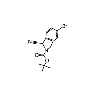 CC(C)(C)OC(=O)N1Cc2cc(Br)ccc2C1C#N